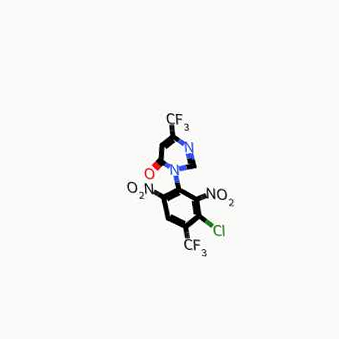 O=c1cc(C(F)(F)F)ncn1-c1c([N+](=O)[O-])cc(C(F)(F)F)c(Cl)c1[N+](=O)[O-]